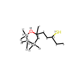 CCC(S)CCC1(C)C[Si](C)(C)[Si](C)(C)[Si](C)(C)O1